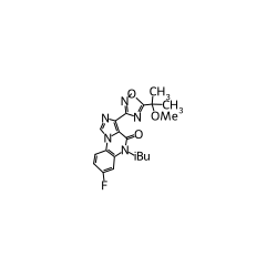 CCC(C)n1c(=O)c2c(-c3noc(C(C)(C)OC)n3)ncn2c2ccc(F)cc21